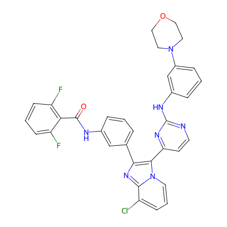 O=C(Nc1cccc(-c2nc3c(Cl)cccn3c2-c2ccnc(Nc3cccc(N4CCOCC4)c3)n2)c1)c1c(F)cccc1F